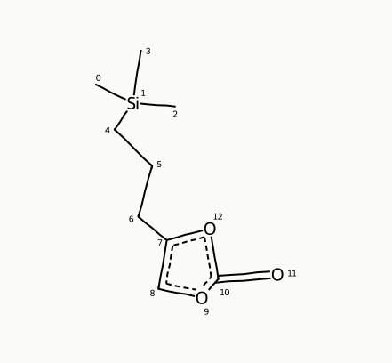 C[Si](C)(C)CCCc1coc(=O)o1